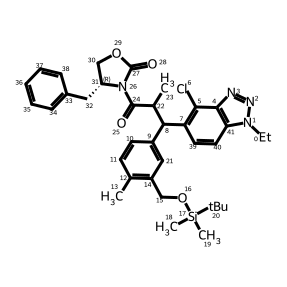 CCn1nnc2c(Cl)c(C(c3ccc(C)c(CO[Si](C)(C)C(C)(C)C)c3)C(C)C(=O)N3C(=O)OC[C@H]3Cc3ccccc3)ccc21